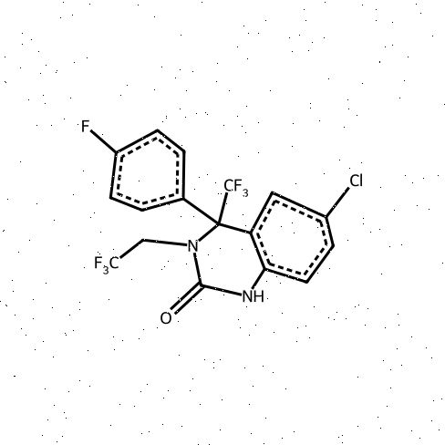 O=C1Nc2ccc(Cl)cc2C(c2ccc(F)cc2)(C(F)(F)F)N1CC(F)(F)F